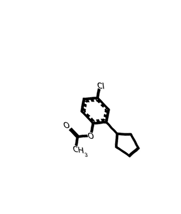 CC(=O)Oc1ccc(Cl)cc1C1CCCC1